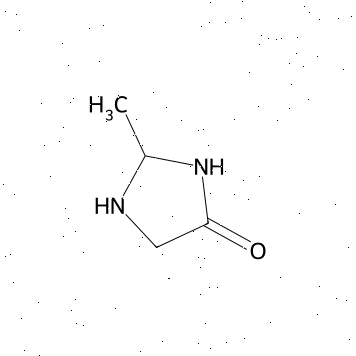 CC1NCC(=O)N1